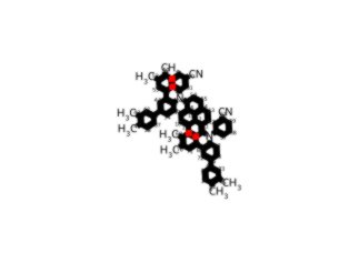 Cc1ccc(-c2ccc(N(C3=C4C=CC5=C6C(=CC=C(C=C3)C46)C(N(c3cccc(C#N)c3)c3ccc(-c4ccc(C)c(C)c4)cc3-c3ccc(C)c(C)c3)C=C5)c3cccc(C#N)c3)c(-c3ccc(C)c(C)c3)c2)cc1C